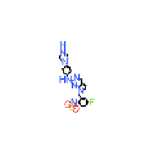 CN(c1ccc(F)cc1Cn1ccc2cnc(Nc3ccc(N4CCNCC4)cc3)nc21)S(C)(=O)=O